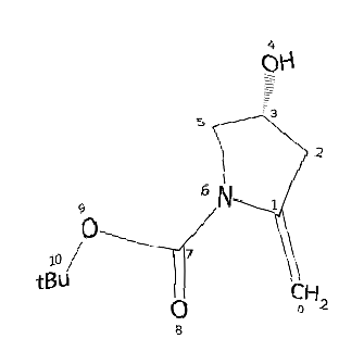 C=C1C[C@@H](O)CN1C(=O)OC(C)(C)C